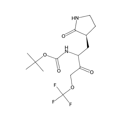 CC(C)(C)OC(=O)NC(C[C@@H]1CCNC1=O)C(=O)COC(F)(F)F